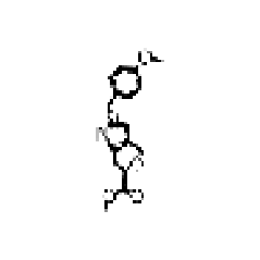 COC(=O)C1Cc2nn(Cc3ccc(OC)cc3)cc2CO1